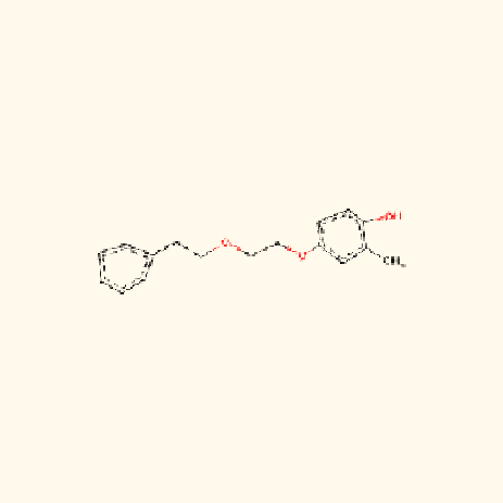 Cc1cc(OCCOCCc2ccccc2)ccc1O